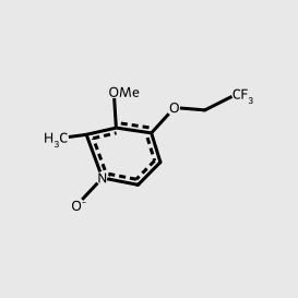 COc1c(OCC(F)(F)F)cc[n+]([O-])c1C